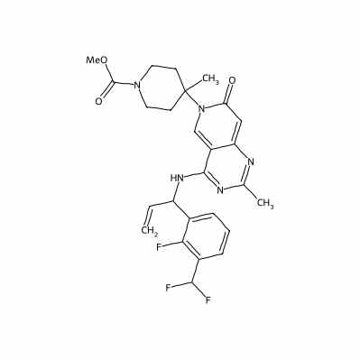 C=CC(Nc1nc(C)nc2cc(=O)n(C3(C)CCN(C(=O)OC)CC3)cc12)c1cccc(C(F)F)c1F